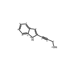 OCC#Cc1cc2ccccc2[nH]1